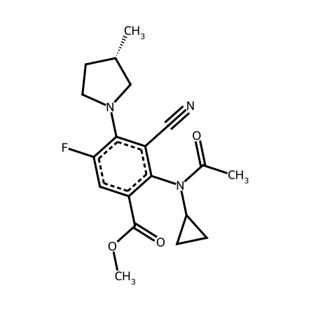 COC(=O)c1cc(F)c(N2CC[C@H](C)C2)c(C#N)c1N(C(C)=O)C1CC1